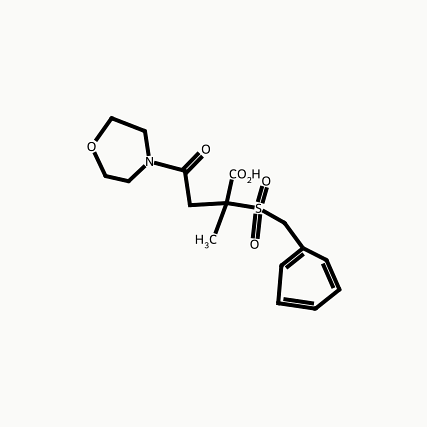 CC(CC(=O)N1CCOCC1)(C(=O)O)S(=O)(=O)Cc1ccccc1